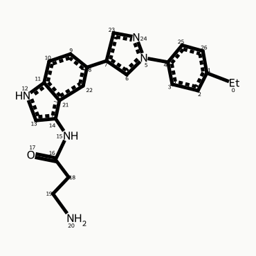 CCc1ccc(-n2cc(-c3ccc4[nH]cc(NC(=O)CCN)c4c3)cn2)cc1